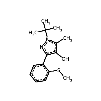 CSc1ccccc1-c1nn(C(C)(C)C)c(C)c1O